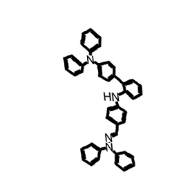 C(=NN(c1ccccc1)c1ccccc1)c1ccc(Nc2ccccc2-c2ccc(N(c3ccccc3)c3ccccc3)cc2)cc1